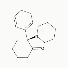 O=C1CCCC[C@@]1(C1=CCCC=C1)N1CCCCC1